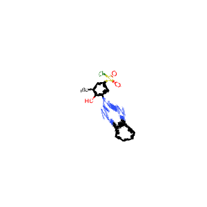 CCC(C)c1cc(S(=O)(=O)Cl)cc(-n2nc3ccccc3n2)c1O